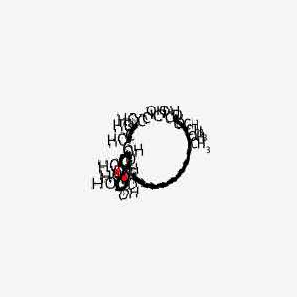 C[C@@H]1[C@H](O)[C@@H](C)/C=C/C=C/C=C/C=C/C=C/C=C/C=C/[C@H](OC2O[C@H](C)[C@@H](O)C[C@H]2O)C[C@@H]2OC(O)(C[C@@H](O)C[C@@H](O)[C@H](O)CC[C@@H](O)C[C@@H](O)CC(=O)O[C@H]1C)C[C@H](O)[C@H]2C(=O)O